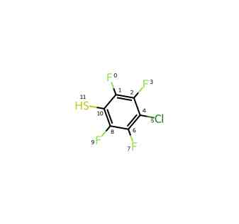 Fc1c(F)c(Cl)c(F)c(F)c1S